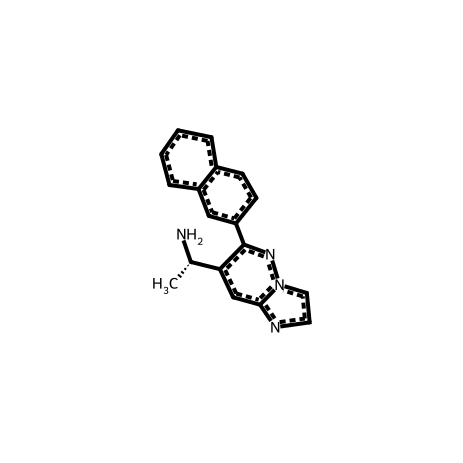 C[C@H](N)c1cc2nccn2nc1-c1ccc2ccccc2c1